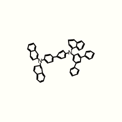 c1ccc(-c2cc(-c3ccccc3)cc(N(c3ccc(-c4ccc(N(c5ccc6ccccc6c5)c5ccc6ccccc6c5)cc4)cc3)c3cccc4ccccc34)c2)cc1